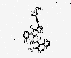 C[C@@H](NC(=O)c1c(N)ncn2ccnc12)c1nc2onc(C#Cc3cnn(C)c3)c2c(=O)n1-c1ccccc1